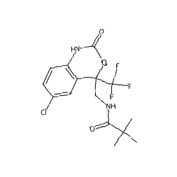 CC(C)(C)C(=O)NCC1(C(F)(F)F)OC(=O)Nc2ccc(Cl)cc21